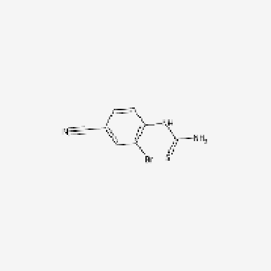 N#Cc1ccc(NC(N)=S)c(Br)c1